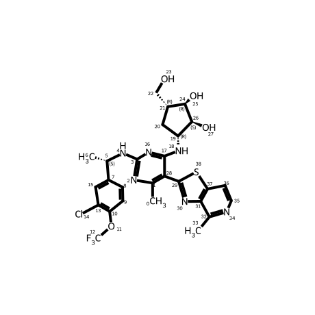 Cc1nc(N[C@@H](C)c2ccc(OC(F)(F)F)c(Cl)c2)nc(N[C@@H]2C[C@H](CO)[C@@H](O)[C@H]2O)c1-c1nc2c(C)nccc2s1